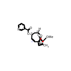 COc1ccc2c3c1O[C@H](CCCN2C)C[C@@H](OC(=O)c1cccnc1)/C=C\3